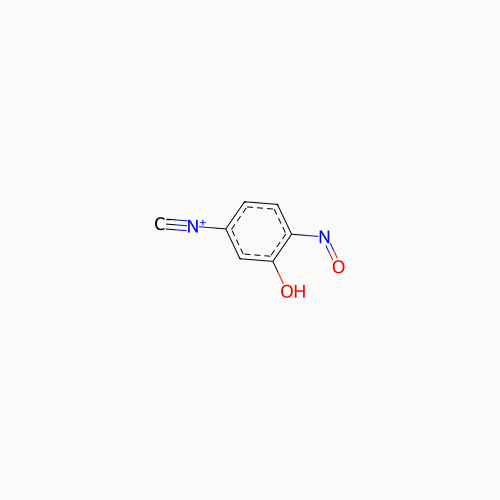 [C-]#[N+]c1ccc(N=O)c(O)c1